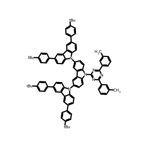 Cc1cccc(-c2nc(-c3cccc(C)c3)nc(-n3c4ccc(-n5c6ccc(-c7ccc(C(C)(C)C)cc7)cc6c6cc(-c7ccc(C(C)(C)C)cc7)ccc65)cc4c4cc(-n5c6ccc(-c7ccc(C(C)(C)C)cc7)cc6c6cc(-c7ccc(C(C)(C)C)cc7)ccc65)ccc43)n2)c1